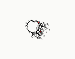 CC=C1NC(=O)C2CSSCC/C=C/C(CC(=O)NC(C(C)C)C(=O)N2)OC(=O)C(C(C)C)NC1=O